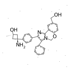 C[C@]1(O)C[C@](N)(c2ccc(-c3nc4n(c3-c3ccccc3)COc3ccc(CO)cc3-4)cc2)C1